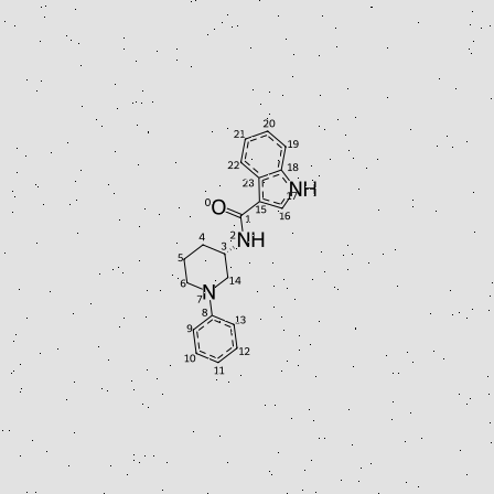 O=C(N[C@H]1CCCN(c2ccccc2)C1)c1c[nH]c2ccccc12